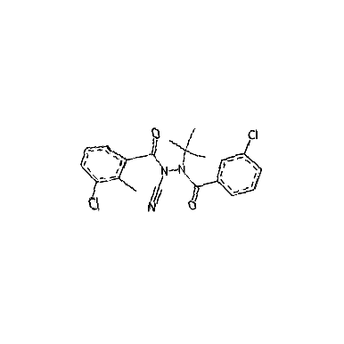 Cc1c(Cl)cccc1C(=O)N(C#N)N(C(=O)c1cccc(Cl)c1)C(C)(C)C